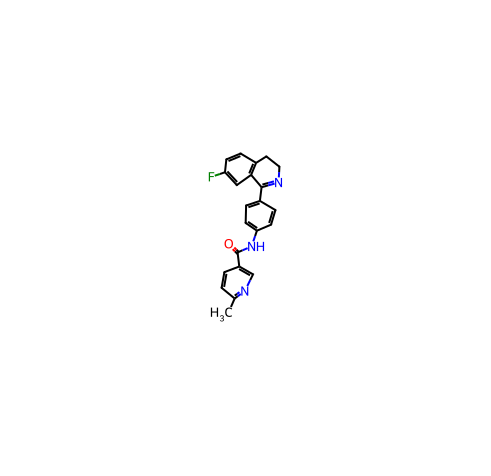 Cc1ccc(C(=O)Nc2ccc(C3=NCCc4ccc(F)cc43)cc2)cn1